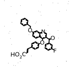 O=C(O)/C=C/c1ccc(Oc2c(C(=O)c3cccc(F)c3)cnc3cc(OCc4ccccc4)ccc23)cc1